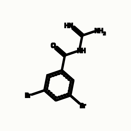 N=C(N)NC(=O)c1cc(Br)cc(Br)c1